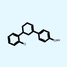 COc1ccc(C2=CCCC(c3ccccc3Cl)C2)cc1